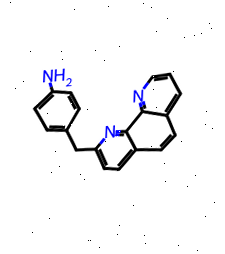 Nc1ccc(Cc2ccc3ccc4cccnc4c3n2)cc1